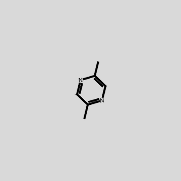 Cc1[c]nc(C)cn1